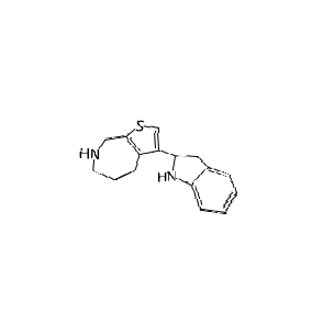 c1ccc2c(c1)CC(c1csc3c1CCCNC3)N2